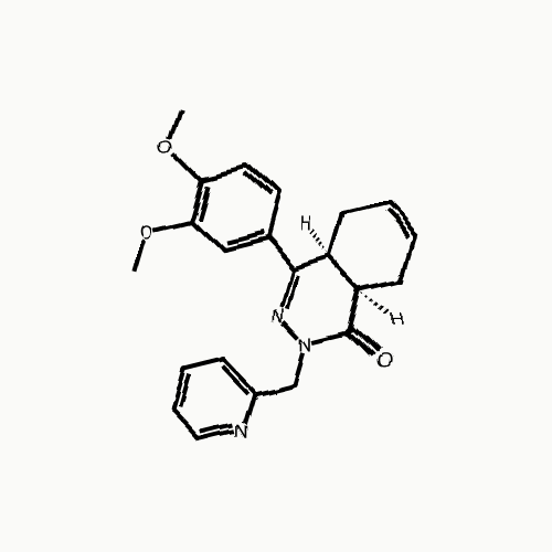 COc1ccc(C2=NN(Cc3ccccn3)C(=O)[C@@H]3CC=CC[C@H]23)cc1OC